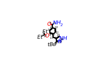 CCC(CC)Oc1cc(C(N)=O)ccc1Cc1c[nH]nc1C(C)(C)C